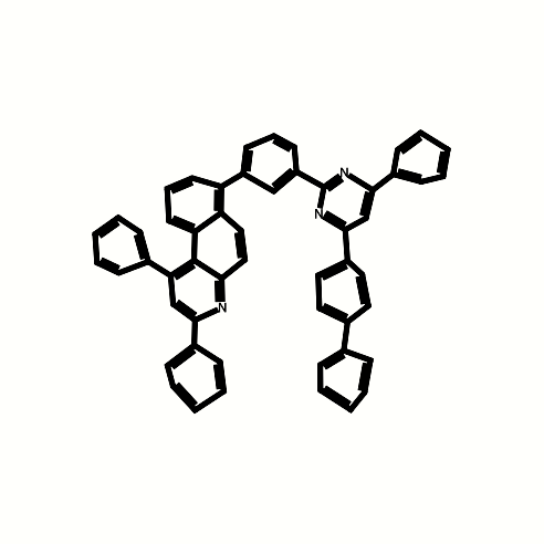 c1ccc(-c2ccc(-c3cc(-c4ccccc4)nc(-c4cccc(-c5cccc6c5ccc5nc(-c7ccccc7)cc(-c7ccccc7)c56)c4)n3)cc2)cc1